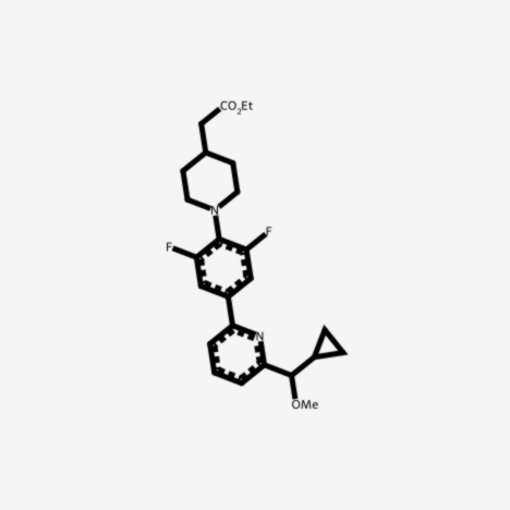 CCOC(=O)CC1CCN(c2c(F)cc(-c3cccc(C(OC)C4CC4)n3)cc2F)CC1